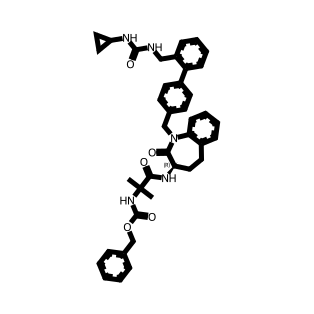 CC(C)(NC(=O)OCc1ccccc1)C(=O)N[C@@H]1CCc2ccccc2N(Cc2ccc(-c3ccccc3CNC(=O)NC3CC3)cc2)C1=O